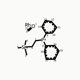 C=O.C[Si](C)(C)CCP(c1ccccc1)c1ccccc1.[Rh]